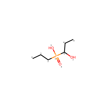 CCCP(=O)(O)C(O)CC